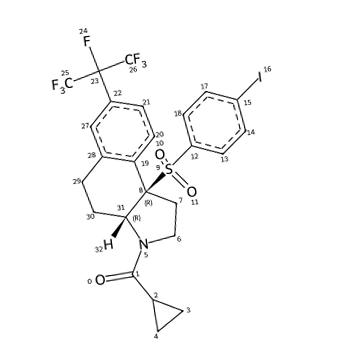 O=C(C1CC1)N1CC[C@@]2(S(=O)(=O)c3ccc(I)cc3)c3ccc(C(F)(C(F)(F)F)C(F)(F)F)cc3CC[C@@H]12